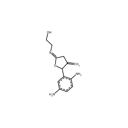 C=C1CC(=NCCO)OC1c1cc(N)ccc1N